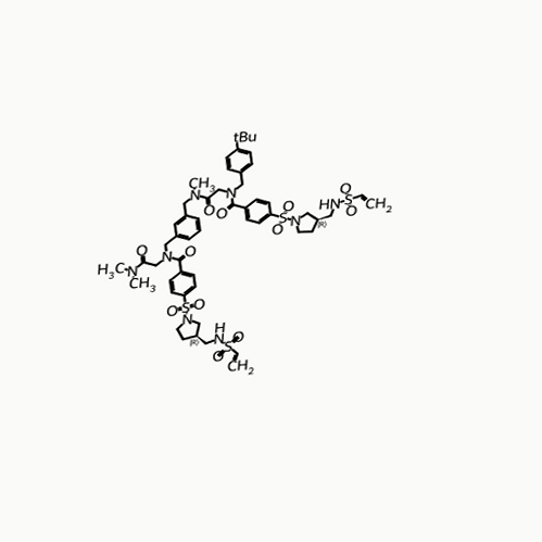 C=CS(=O)(=O)NC[C@H]1CCN(S(=O)(=O)c2ccc(C(=O)N(CC(=O)N(C)C)Cc3cccc(CN(C)C(=O)CN(Cc4ccc(C(C)(C)C)cc4)C(=O)c4ccc(S(=O)(=O)N5CC[C@H](CNS(=O)(=O)C=C)C5)cc4)c3)cc2)C1